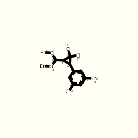 CCOC(OCC)C1C(c2cc(Cl)cc(C#N)c2)C1(Cl)Cl